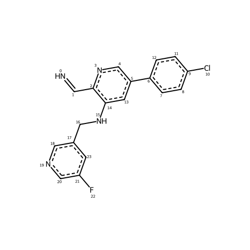 N=Cc1ncc(-c2ccc(Cl)cc2)cc1NCc1cncc(F)c1